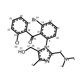 Cc1nc(CN(C)C)n(-c2cccc(Br)c2C(=O)c2ccccc2Cl)c1CO